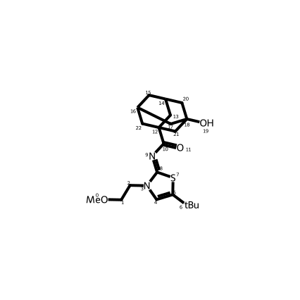 COCCn1cc(C(C)(C)C)sc1=NC(=O)C12CC3CC(CC(O)(C3)C1)C2